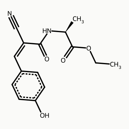 CCOC(=O)[C@H](C)NC(=O)C(C#N)=Cc1ccc(O)cc1